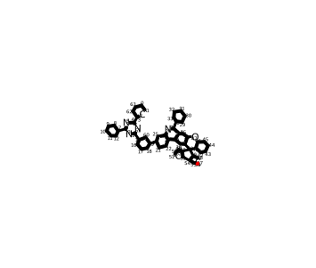 c1ccc(-c2nc(-c3ccccc3)nc(-c3cccc(-c4ccc5c(c4)nc(-c4ccccc4)c4cc6c(cc45)C4(c5ccccc5O6)c5ccccc5-c5ccccc54)c3)n2)cc1